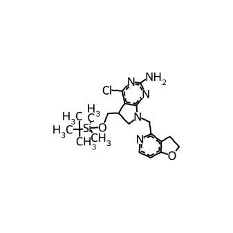 CC(C)(C)[Si](C)(C)OCC1CN(Cc2nccc3c2CCO3)c2nc(N)nc(Cl)c21